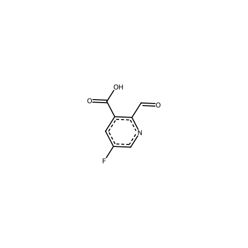 O=Cc1ncc(F)cc1C(=O)O